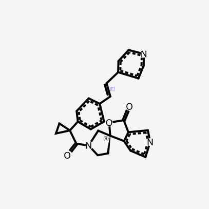 O=C1O[C@]2(CCN(C(=O)C3(c4ccc(/C=C/c5ccncc5)cc4)CC3)C2)c2ccncc21